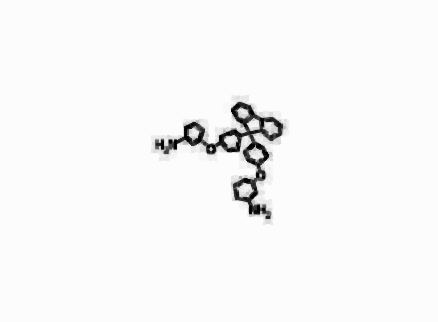 Nc1cccc(Oc2ccc(C3(c4ccc(Oc5cccc(N)c5)cc4)c4ccccc4-c4ccccc43)cc2)c1